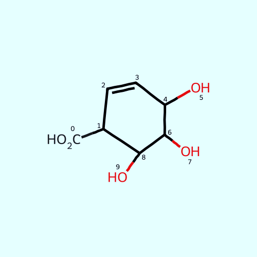 O=C(O)C1C=CC(O)C(O)C1O